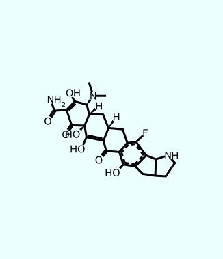 CN(C)[C@@H]1C(O)=C(C(N)=O)C(=O)[C@@]2(O)C(O)=C3C(=O)c4c(O)c5c(c(F)c4C[C@H]3C[C@@H]12)C1NCCC1C5